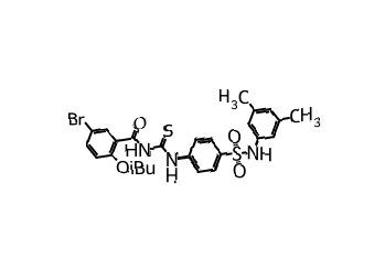 Cc1cc(C)cc(NS(=O)(=O)c2ccc(NC(=S)NC(=O)c3cc(Br)ccc3OCC(C)C)cc2)c1